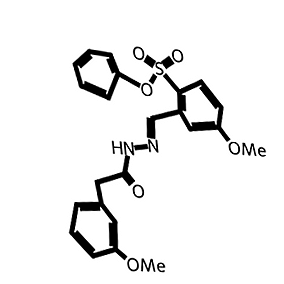 COc1cccc(CC(=O)NN=Cc2cc(OC)ccc2S(=O)(=O)Oc2ccccc2)c1